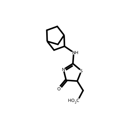 O=C(O)CC1SC(NC2CC3CCC2C3)=NC1=O